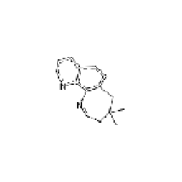 CC1(C)CC=Nc2c(ccc3cccnc23)C1